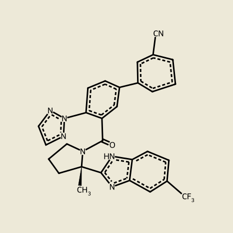 C[C@@]1(c2nc3cc(C(F)(F)F)ccc3[nH]2)CCCN1C(=O)c1cc(-c2cccc(C#N)c2)ccc1-n1nccn1